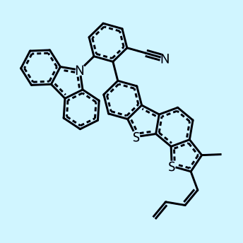 C=C/C=C\c1sc2c(ccc3c4cc(-c5c(C#N)cccc5-n5c6ccccc6c6ccccc65)ccc4sc32)c1C